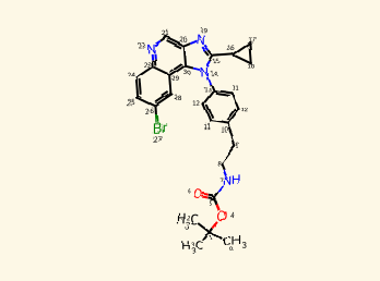 CC(C)(C)OC(=O)NCCc1ccc(-n2c(C3CC3)nc3cnc4ccc(Br)cc4c32)cc1